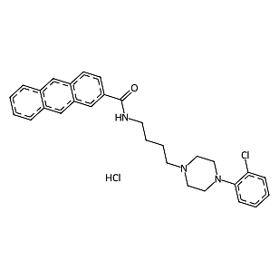 Cl.O=C(NCCCCN1CCN(c2ccccc2Cl)CC1)c1ccc2cc3ccccc3cc2c1